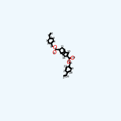 C=CC1=CC=C(COC(=O)C2CC3CC2C2CC(C(=O)OCc4ccc(C=C)cc4)=CC32)CC1